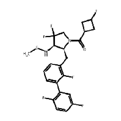 CSN[C@@H]1[C@H](Cc2cccc(-c3cc(F)ccc3F)c2F)N(C(=O)C2CC(F)C2)CC1(F)F